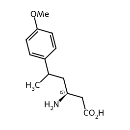 COc1ccc(C(C)C[C@H](N)CC(=O)O)cc1